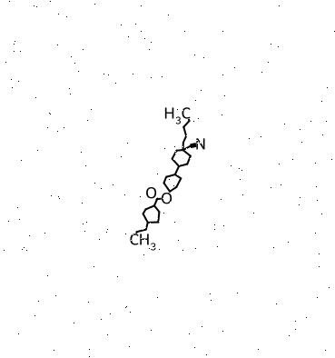 CCCCCC1(C#N)CCC(C2CCC(OC(=O)C3CCC(CCC)CC3)CC2)CC1